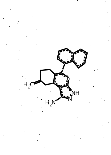 C=C1CCc2c(-c3cccc4ccccc34)nc3[nH]nc(N)c3c2C1